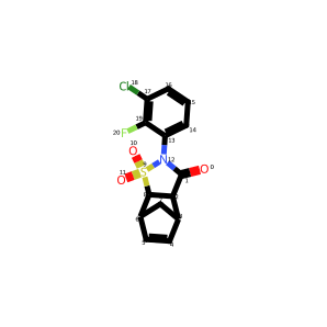 O=C1C2C3C=CC(C3)C2S(=O)(=O)N1c1cccc(Cl)c1F